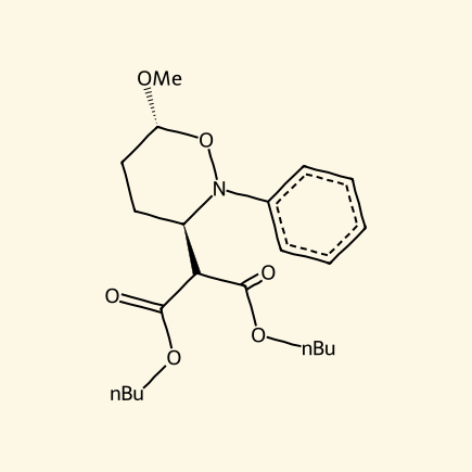 CCCCOC(=O)C(C(=O)OCCCC)[C@H]1CC[C@H](OC)ON1c1ccccc1